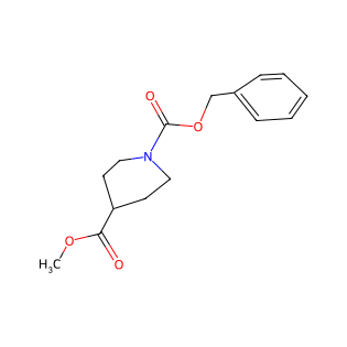 COC(=O)C1CCN(C(=O)OCc2ccccc2)CC1